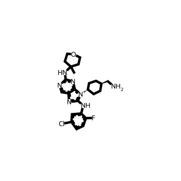 CC1(Nc2ncc3nc(Nc4cc(Cl)ccc4F)n([C@H]4CC[C@H](CN)CC4)c3n2)CCOCC1